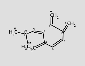 C=CC(=C)/C=C\C(=C)/C=C\N(C)C